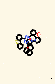 c1ccc(-c2cccc(-c3cccc4oc5cccc(C6=NC(c7cccc8sc9ccccc9c78)=NC(c7ccc8ccccc8c7)N6)c5c34)c2)cc1